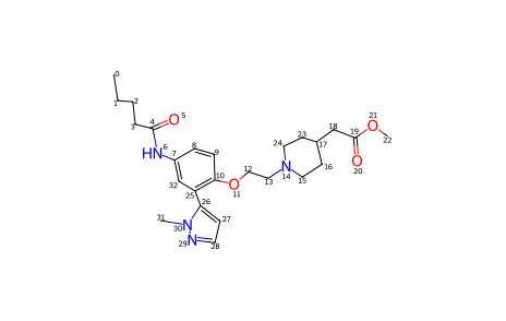 CCCCC(=O)Nc1ccc(OCCN2CCC(CC(=O)OC)CC2)c(-c2ccnn2C)c1